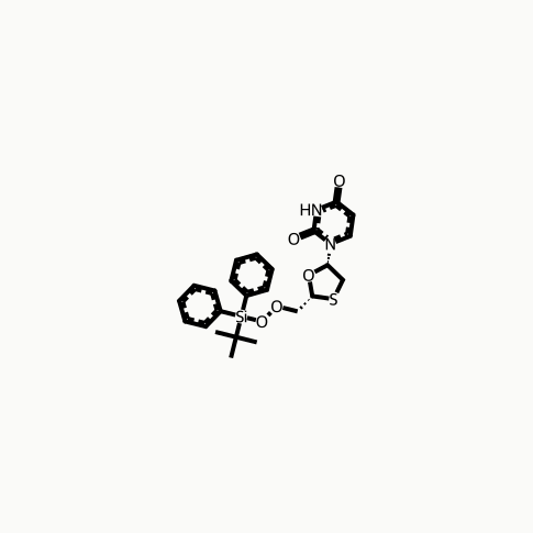 CC(C)(C)[Si](OOC[C@@H]1O[C@H](n2ccc(=O)[nH]c2=O)CS1)(c1ccccc1)c1ccccc1